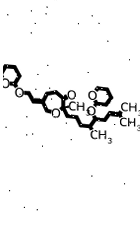 CC(C)=CCC(OC1CCCCO1)C(C)CCC[C@]1(C)OCC(=CCOC2CCCCO2)CCC1=O